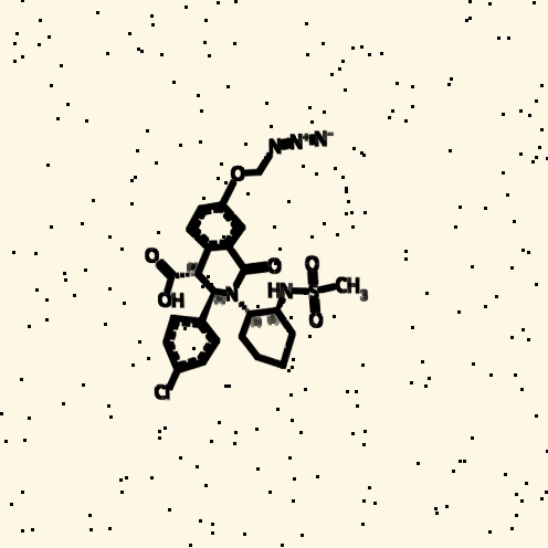 CS(=O)(=O)N[C@H]1CCCC[C@@H]1N1C(=O)c2cc(OCN=[N+]=[N-])ccc2[C@@H](C(=O)O)[C@@H]1c1ccc(Cl)cc1